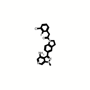 Cn1nc(-c2ccc3c(c2)CCN3C(=O)Cc2cccc(Cl)c2F)c2c(N)cncc21